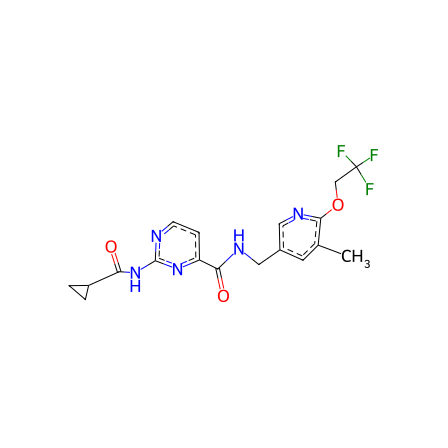 Cc1cc(CNC(=O)c2ccnc(NC(=O)C3CC3)n2)cnc1OCC(F)(F)F